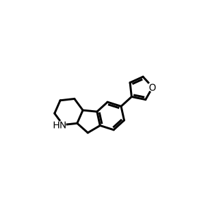 c1cc(-c2ccc3c(c2)C2CCCNC2C3)co1